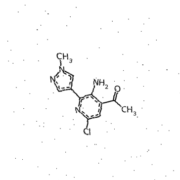 CC(=O)c1cc(Cl)nc(-c2cnn(C)c2)c1N